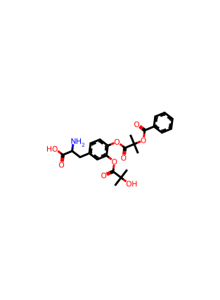 CC(C)(O)C(=O)Oc1cc(CC(N)C(=O)O)ccc1OC(=O)C(C)(C)OC(=O)c1ccccc1